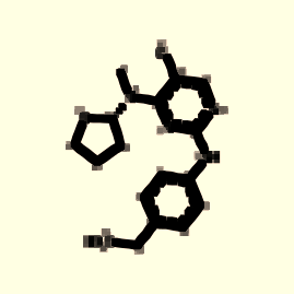 CN(c1nc(Nc2ccc(CC(=O)O)cc2)ncc1Cl)[C@@H]1CCCO1